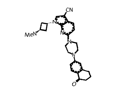 CN[C@H]1C[C@H](n2cc(C#N)c3ccc(N4CCN(c5ccc6c(c5)CCCC6=O)CC4)nc32)C1